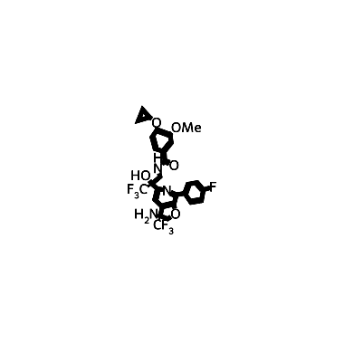 COc1cc(C(=O)NC[C@@](O)(c2cc3c(c(-c4ccc(F)cc4)n2)OC[C@]3(N)C(F)(F)F)C(F)(F)F)ccc1OC1CC1